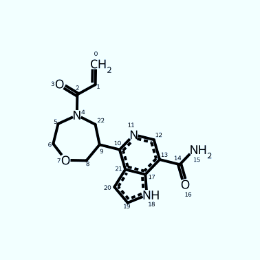 C=CC(=O)N1CCOCC(c2ncc(C(N)=O)c3[nH]ccc23)C1